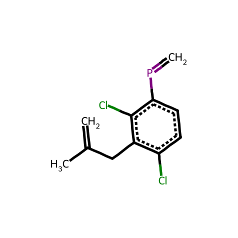 C=Pc1ccc(Cl)c(CC(=C)C)c1Cl